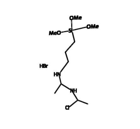 Br.CO[Si](CCCNC(C)NC(C)Cl)(OC)OC